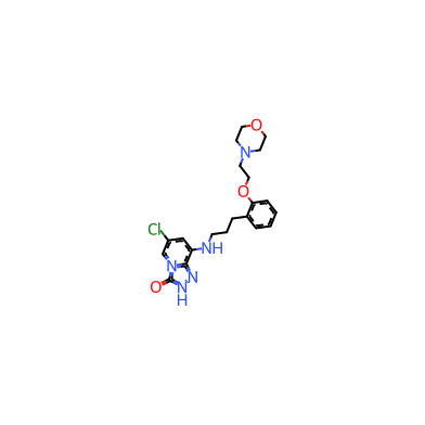 O=c1[nH]nc2c(NCCCc3ccccc3OCCN3CCOCC3)cc(Cl)cn12